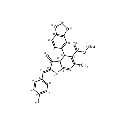 CCCCOC(=O)C1=C(C)N=c2s/c(=C\c3ccc(I)cc3)c(=O)n2C1c1ccc2c(c1)OCO2